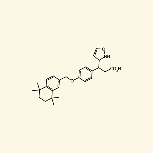 CC1(C)CCC(C)(C)c2cc(COc3ccc(C(CC(=O)O)C4C=CON4)cc3)ccc21